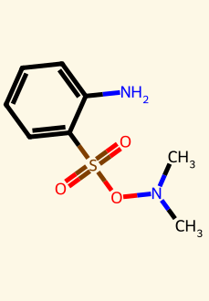 CN(C)OS(=O)(=O)c1ccccc1N